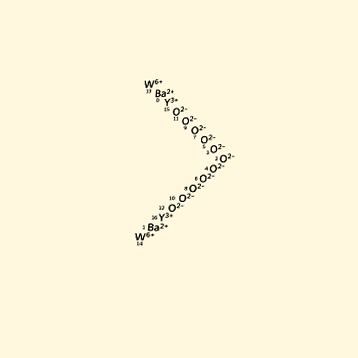 [Ba+2].[Ba+2].[O-2].[O-2].[O-2].[O-2].[O-2].[O-2].[O-2].[O-2].[O-2].[O-2].[O-2].[W+6].[W+6].[Y+3].[Y+3]